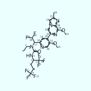 CCN(C(=O)NC(CCC(F)(F)F)C(F)(F)F)C(c1cc(-c2cn3cc(C)nc3c(OC)n2)c(OC)cn1)C(F)F